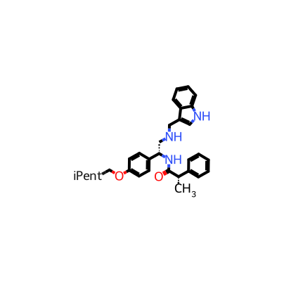 CCCC(C)COc1ccc([C@H](CNCc2c[nH]c3ccccc23)NC(=O)[C@@H](C)c2ccccc2)cc1